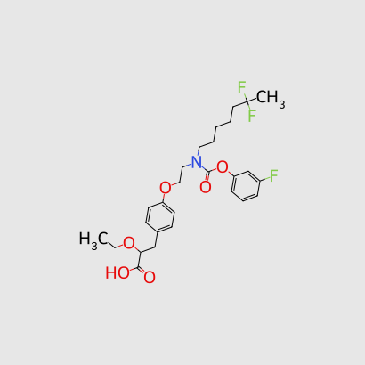 CCOC(Cc1ccc(OCCN(CCCCCC(C)(F)F)C(=O)Oc2cccc(F)c2)cc1)C(=O)O